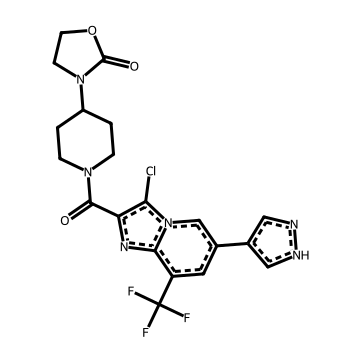 O=C(c1nc2c(C(F)(F)F)cc(-c3cn[nH]c3)cn2c1Cl)N1CCC(N2CCOC2=O)CC1